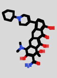 CN(C)[C@@H]1C(O)=C(C(N)=O)C(C)(O)C2C(O)=C3C(=O)c4c(O)ccc(C5=CCN(C6CCCCC6)CC5)c4CC3CC21